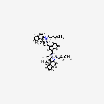 CCCCCN1/C(=C/C=C2C=C(/C=C/C3=[N+](CCCCC)c4ccc5ccccc5c4C3(C)C)c3ccccc3/2)C(C)(C)c2c1ccc1ccccc21